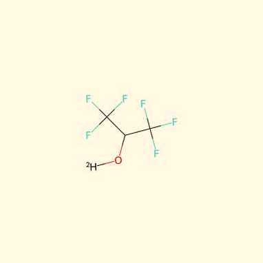 [2H]OC(C(F)(F)F)C(F)(F)F